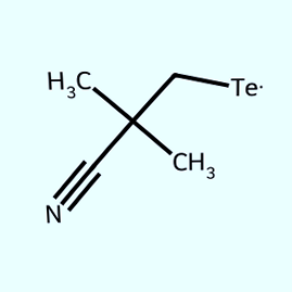 CC(C)(C#N)C[Te]